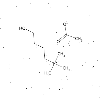 CC(=O)[O-].C[P+](C)(C)CCCCO